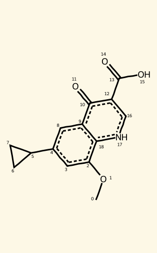 COc1cc(C2CC2)cc2c(=O)c(C(=O)O)c[nH]c12